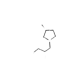 C[C@H](CN)CN1CC[C@H](C)C1